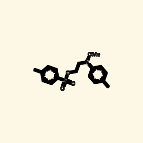 CON(CCOS(=O)(=O)c1ccc(C)cc1)c1ccc(C)cc1